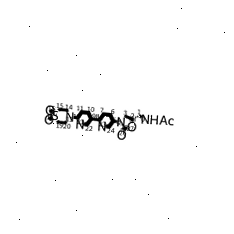 CC(=O)NC[C@H]1CN(c2ccc(-c3ccc(N4CCS(=O)(=O)CC4)nc3)nc2)C(=O)O1